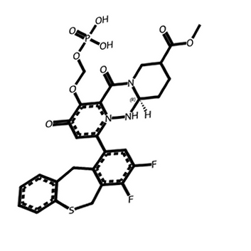 COC(=O)C1CC[C@H]2Nn3c(-c4cc(F)c(F)c5c4Cc4ccccc4SC5)cc(=O)c(OCOP(=O)(O)O)c3C(=O)N2C1